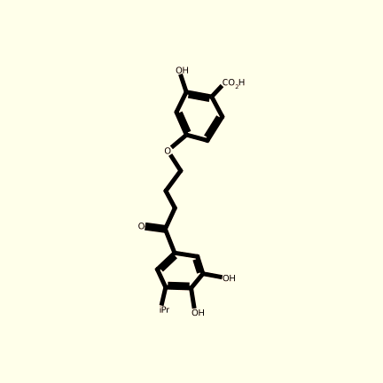 CC(C)c1cc(C(=O)CCCOc2ccc(C(=O)O)c(O)c2)cc(O)c1O